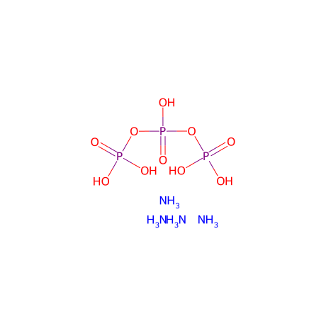 N.N.N.N.O=P(O)(O)OP(=O)(O)OP(=O)(O)O